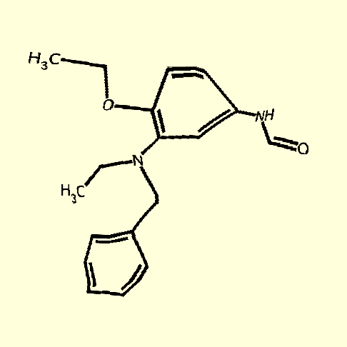 CCOc1ccc(NC=O)cc1N(CC)Cc1ccccc1